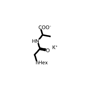 CCCCCCCC(=O)NC(C)C(=O)[O-].[K+]